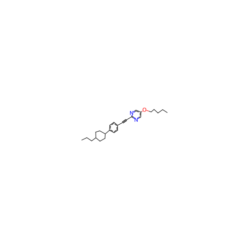 CCCCCOc1cnc(C#Cc2ccc(C3CCC(CCC)CC3)cc2)nc1